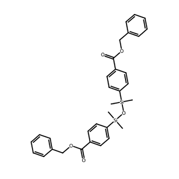 C[Si](C)(O[Si](C)(C)c1ccc(C(=O)OCc2ccccc2)cc1)c1ccc(C(=O)OCc2ccccc2)cc1